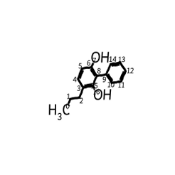 CCCc1ccc(O)c(-c2ccccc2)c1O